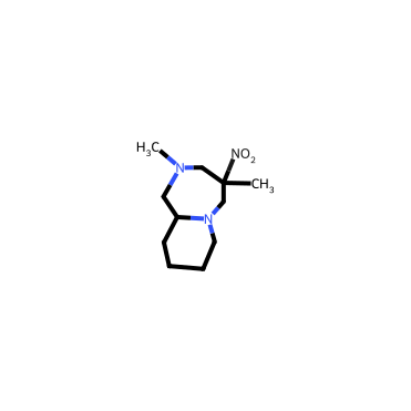 CN1CC2CCCCN2CC(C)([N+](=O)[O-])C1